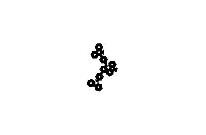 CC1(C)c2ccccc2-c2c(N(c3ccc(-c4ccc(-n5c6ccccc6c6ccccc65)cc4)cc3)c3ccc(-c4nc5ccccc5c5ccccc45)cc3)cccc21